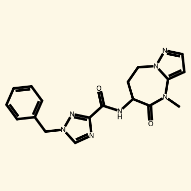 CN1C(=O)C(NC(=O)c2ncn(Cc3ccccc3)n2)CCn2nccc21